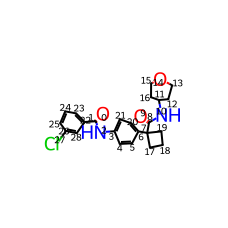 O=C(Nc1ccc(C2(C(=O)NC3CCOCC3)CCC2)cc1)c1cccc(Cl)c1